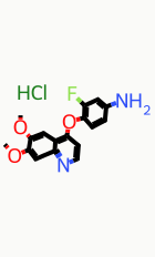 COc1cc2nccc(Oc3ccc(N)cc3F)c2cc1OC.Cl